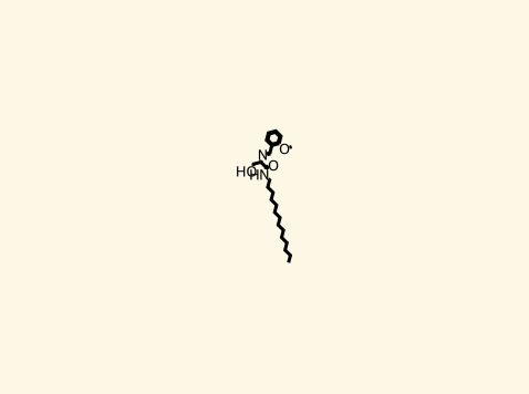 CCCCCCCCCCCCCCNC(=O)C(CO)N=Cc1ccccc1OC